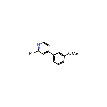 COc1cccc(-c2ccnc(C(C)C)c2)c1